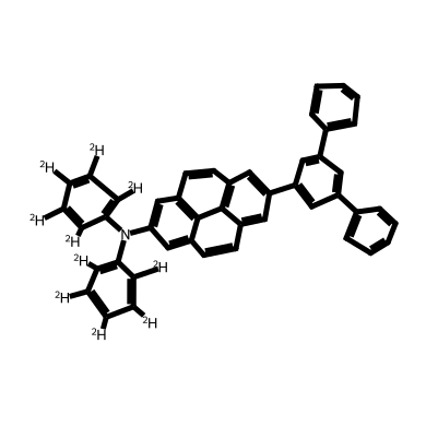 [2H]c1c([2H])c([2H])c(N(c2cc3ccc4cc(-c5cc(-c6ccccc6)cc(-c6ccccc6)c5)cc5ccc(c2)c3c45)c2c([2H])c([2H])c([2H])c([2H])c2[2H])c([2H])c1[2H]